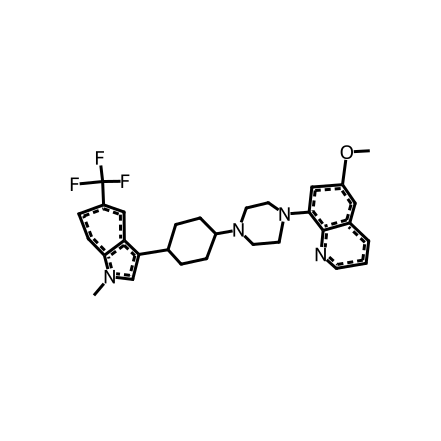 COc1cc(N2CCN(C3CCC(c4cn(C)c5ccc(C(F)(F)F)cc45)CC3)CC2)c2ncccc2c1